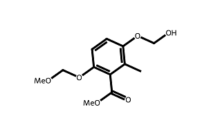 COCOc1ccc(OCO)c(C)c1C(=O)OC